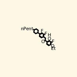 CCCCCC1CCC(c2ccc(CC(=O)c3ccc(OCC)c(F)c3O)c(F)c2F)CC1